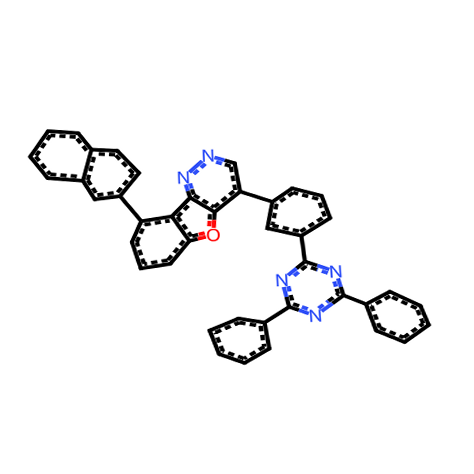 c1ccc(-c2nc(-c3ccccc3)nc(-c3cccc(-c4cnnc5c4oc4cccc(-c6ccc7ccccc7c6)c45)c3)n2)cc1